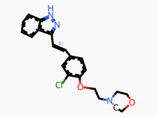 Clc1cc(/C=C/c2n[nH]c3ccccc23)ccc1OCCN1CCOCC1